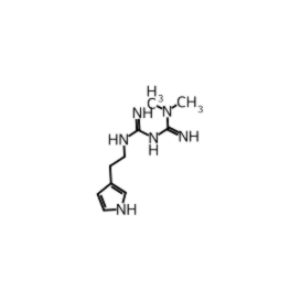 CN(C)C(=N)NC(=N)NCCc1cc[nH]c1